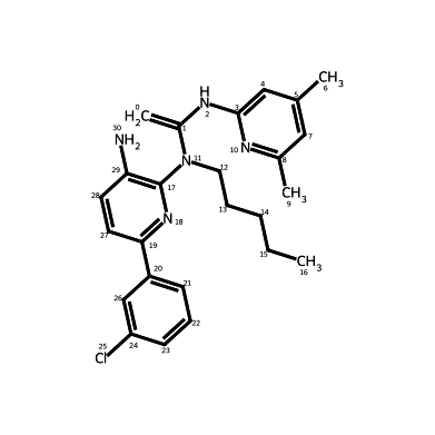 C=C(Nc1cc(C)cc(C)n1)N(CCCCC)c1nc(-c2cccc(Cl)c2)ccc1N